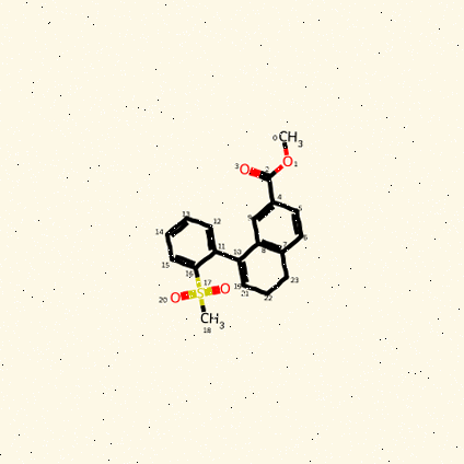 COC(=O)c1ccc2c(c1)C(c1ccccc1S(C)(=O)=O)=CCC2